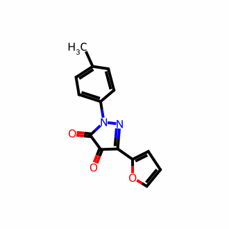 Cc1ccc(N2N=C(c3ccco3)C(=O)C2=O)cc1